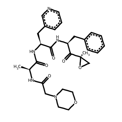 C[C@H](NC(=O)CN1CCOCC1)C(=O)N[C@@H](Cc1cccnc1)C(=O)N[C@@H](Cc1ccccc1)C(=O)[C@@]1(C)CO1